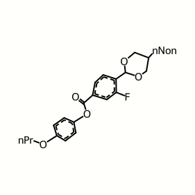 CCCCCCCCCC1COC(c2ccc(C(=O)Oc3ccc(OCCC)cc3)cc2F)OC1